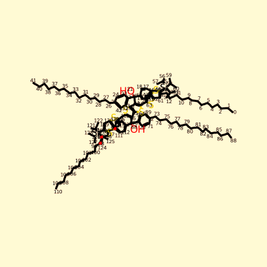 CCCCCCCCCCCCCCCCc1ccc(C(O)(c2ccc(CCCCCCCCCCCCCCCC)cc2)c2c(-c3cc4sc([Si](C(C)C)(C(C)C)C(C)C)cc4s3)sc3c(C(O)(c4ccc(CCCCCCCCCCCCCCCC)cc4)c4ccc(CCCCCCCCCCCCCCCC)cc4)c(-c4cc5sc([Si](C(C)C)(C(C)C)C(C)C)cc5s4)sc23)cc1